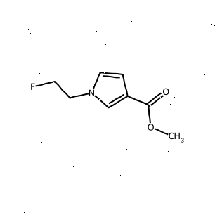 COC(=O)c1ccn(CCF)c1